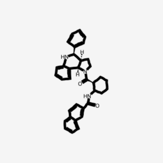 O=C(NC1CCCC[C@@H]1C(=O)N1CC[C@@H]2[C@H](c3ccccc3)Nc3ccccc3[C@@H]21)c1ccc2ccccc2c1